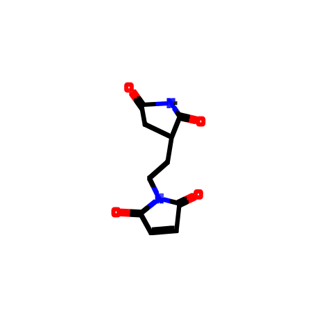 O=C1CC(CCN2C(=O)C=CC2=O)C(=O)[N]1